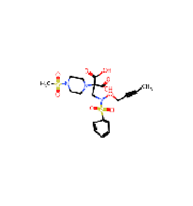 CC#CCON(CC(C(=O)O)(C(=O)O)N1CCN(S(C)(=O)=O)CC1)S(=O)(=O)c1ccccc1